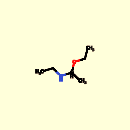 CCN[SiH](C)OCC